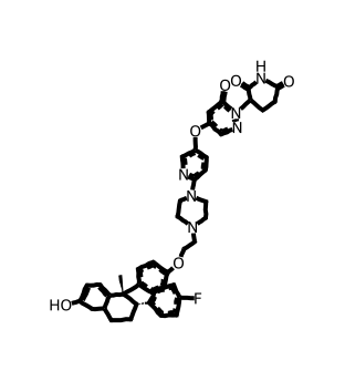 C[C@]1(c2ccc(OCCN3CCN(c4ccc(Oc5cnn(C6CCC(=O)NC6=O)c(=O)c5)cn4)CC3)cc2)C2=CC=C(O)CC2CC[C@H]1c1ccc(F)cc1